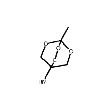 CC12OCC([NH])(CO1)CO2